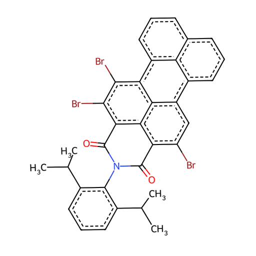 CC(C)c1cccc(C(C)C)c1N1C(=O)c2c(Br)cc3c4cccc5cccc(c6c(Br)c(Br)c(c2c36)C1=O)c54